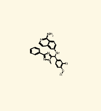 CCOc1ccc(C(Nc2ccc3c(N)nccc3c2)c2nc(-c3ccccc3)nn2C)cc1CC